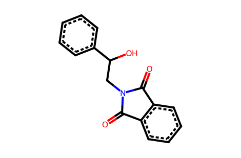 O=C1c2ccccc2C(=O)N1CC(O)c1ccccc1